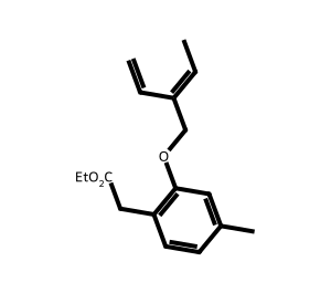 C=C/C(=C\C)COc1cc(C)ccc1CC(=O)OCC